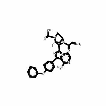 C=CC(=O)N1C2C[C@@H](C1c1nc(-c3ccc(Oc4ccccc4)cc3)c3c(N)nccn13)N(C(C)=O)C2